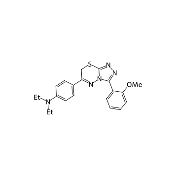 CCN(CC)c1ccc(C2=Nn3c(nnc3-c3ccccc3OC)SC2)cc1